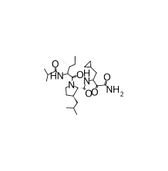 CC[C@@H](C)C(NC(=O)C(C)C)C(=O)N1CC[C@H](CC(C)C)[C@H]1C(=O)NC(CC1CC1)C(=O)C(N)=O